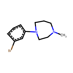 CN1CCCN(c2cc[c]c(Br)c2)CC1